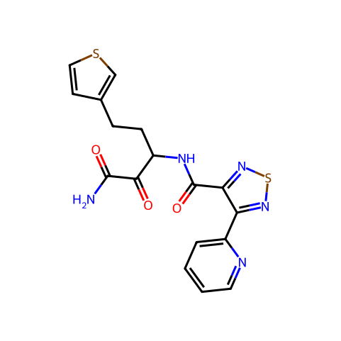 NC(=O)C(=O)C(CCc1ccsc1)NC(=O)c1nsnc1-c1ccccn1